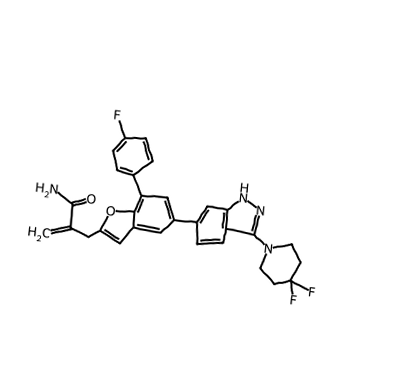 C=C(Cc1cc2cc(-c3ccc4c(N5CCC(F)(F)CC5)n[nH]c4c3)cc(-c3ccc(F)cc3)c2o1)C(N)=O